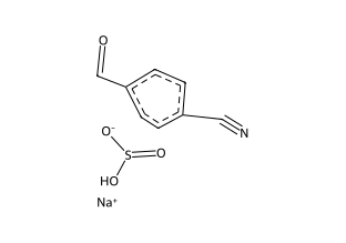 N#Cc1ccc(C=O)cc1.O=S([O-])O.[Na+]